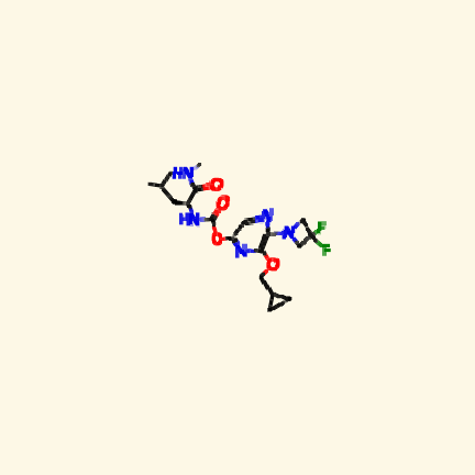 CNC(=O)[C@H](CC(C)C)NC(=O)Oc1cnc(N2CC(F)(F)C2)c(OCC2CC2)n1